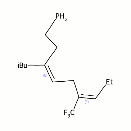 CC/C=C(\C/C=C(\CCP)C(C)CC)C(F)(F)F